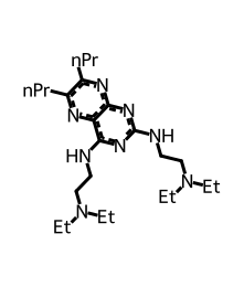 CCCc1nc2nc(NCCN(CC)CC)nc(NCCN(CC)CC)c2nc1CCC